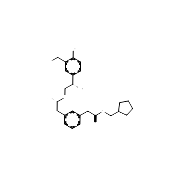 C[C@H](Cc1cccc(CC(=O)NCC2CCCC2)c1)NC[C@H](O)c1ccc(O)c(CO)c1